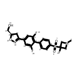 CN1CC(F)(S(=O)(=O)c2ccc(-c3c(F)cc(C4=NO[C@@H](CO)C4)cc3F)cc2)C1